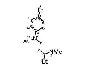 CCc1ccc(N(CCC(CC)NC)C(C)=O)cc1